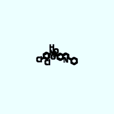 O=S(=O)(Nc1ccc(Cl)c(Cl)c1)c1ccc2nc(C3CCCCC3)ccc2c1